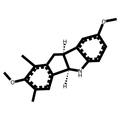 COc1ccc2c(c1)[C@@H]1Cc3c(cc(C)c(OC)c3C)[C@@H]1N2